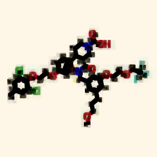 COCCCc1cc(CN(C(=O)[C@H]2CN(C(=O)O)CC[C@@H]2c2ccc(OCCOc3c(Cl)cc(C)cc3Cl)cc2)C2CC2)cc(OCCOCC(F)(F)F)c1